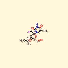 Cc1cn([C@@]2(CI)C[C@H](O[Si](C)(C)C(C)(C)C)[C@@H](CO)O2)c(=O)[nH]c1=O